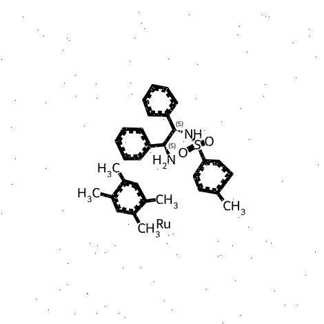 Cc1cc(C)c(C)cc1C.Cc1ccc(S(=O)(=O)N[C@@H](c2ccccc2)[C@@H](N)c2ccccc2)cc1.[Ru]